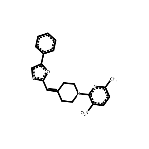 Cc1ccc([N+](=O)[O-])c(N2CCC(=Cc3ncc(-c4ccccc4)o3)CC2)n1